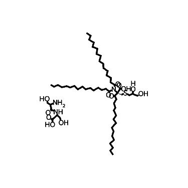 CCCCCCCCCCCCCCCC(=O)N(C(=O)CCCCCCCCCCCCCCC)[C@@](CSCC(O)CO)(C(=O)O)C(=O)CCCCCCCCCCCCCCC.NC(CO)C(=O)NC(CO)C(=O)O